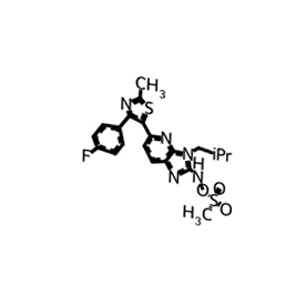 Cc1nc(-c2ccc(F)cc2)c(-c2ccc3nc(NOS(C)(=O)=O)n(CC(C)C)c3n2)s1